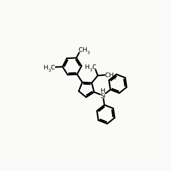 Cc1cc(C)cc(C2=C(C(C)C)C([SiH](c3ccccc3)c3ccccc3)=CC2)c1